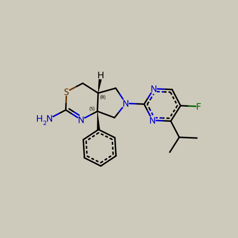 CC(C)c1nc(N2C[C@H]3CSC(N)=N[C@@]3(c3ccccc3)C2)ncc1F